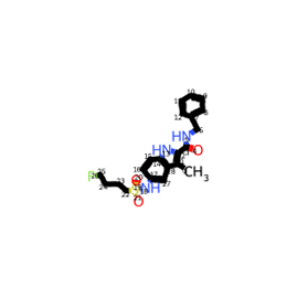 Cc1c(C(=O)NCc2ccccc2)[nH]c2ccc(NS(=O)(=O)CCCCF)cc12